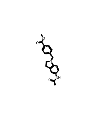 COC(=O)c1ccc(CN2CCc3cc(NC(C)=O)ccc32)cc1